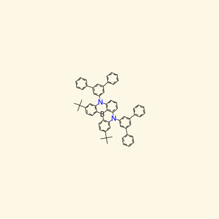 CC(C)(C)c1ccc2c(c1)N(c1cc(-c3ccccc3)cc(-c3ccccc3)c1)c1cccc3c1B2c1ccc(C(C)(C)C)cc1N3c1cc(-c2ccccc2)cc(-c2ccccc2)c1